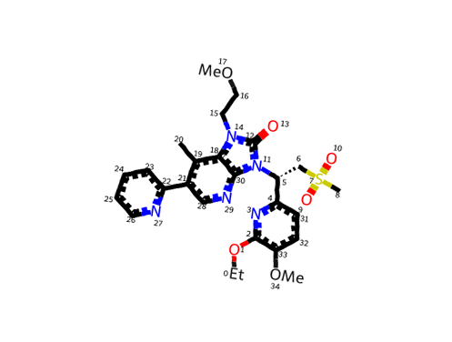 CCOc1nc([C@@H](CS(C)(=O)=O)n2c(=O)n(CCOC)c3c(C)c(-c4ccccn4)cnc32)ccc1OC